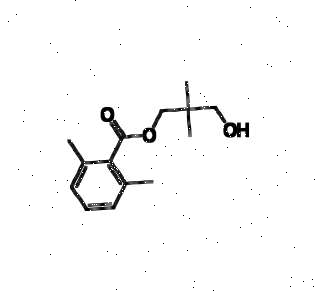 Cc1cccc(C)c1C(=O)OCC(C)(C)CO